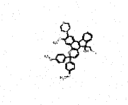 CCC1(O)c2ccccc2-c2c1c1c(c3cc(OC)c(N4CCOCC4)cc23)OC(c2ccc(OC)cc2)(c2ccc(OC)cc2)C=C1